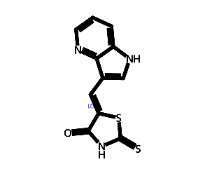 O=C1NC(=S)S/C1=C\c1c[nH]c2cccnc12